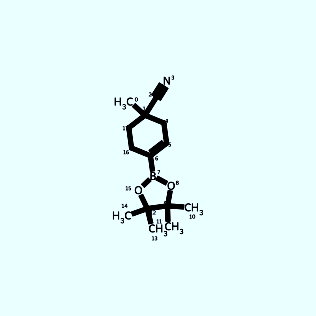 CC1(C#N)CC=C(B2OC(C)(C)C(C)(C)O2)CC1